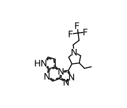 CCC1CN(CCC(F)(F)F)CC1c1nnc2cnc3[nH]ccc3n12